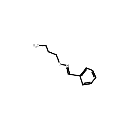 CCCCON=Cc1c[c]ccc1